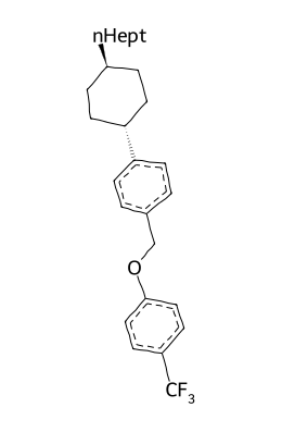 CCCCCCC[C@H]1CC[C@H](c2ccc(COc3ccc(C(F)(F)F)cc3)cc2)CC1